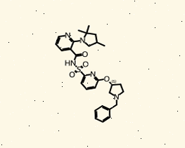 CC1CN(c2ncccc2C(=O)NS(=O)(=O)c2cccc(O[C@H]3CCN(Cc4ccccc4)C3)n2)C(C)(C)C1